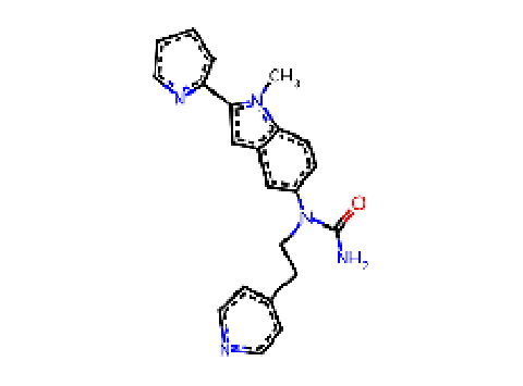 Cn1c(-c2ccccn2)cc2cc(N(CCc3ccncc3)C(N)=O)ccc21